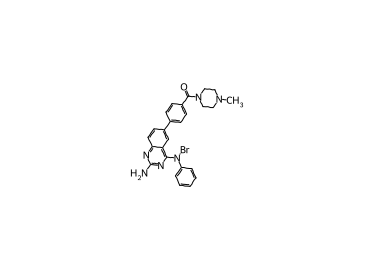 CN1CCN(C(=O)c2ccc(-c3ccc4nc(N)nc(N(Br)c5ccccc5)c4c3)cc2)CC1